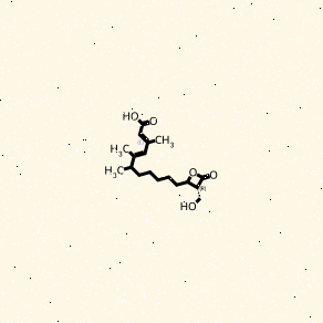 CC(=C/C(C)=C/C(=O)O)C(C)CCCCCC1OC(=O)[C@@H]1CO